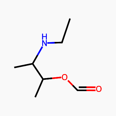 CCNC(C)C(C)OC=O